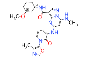 CNc1cc(Nc2cccn(-c3ocnc3C)c2=O)nc2c(C(=O)N[C@H]3CCC[C@H](OC)C3)cnn12